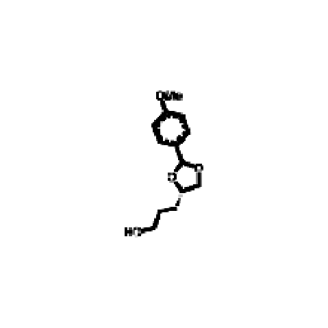 COc1ccc(C2OC[C@H](CCCO)O2)cc1